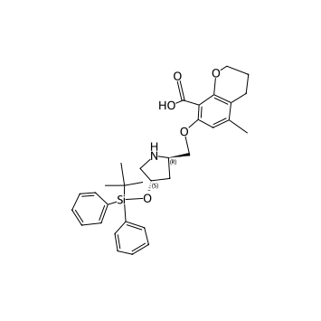 Cc1cc(OC[C@H]2C[C@H](O[Si](c3ccccc3)(c3ccccc3)C(C)(C)C)CN2)c(C(=O)O)c2c1CCCO2